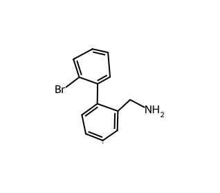 NCc1c[c]ccc1-c1ccccc1Br